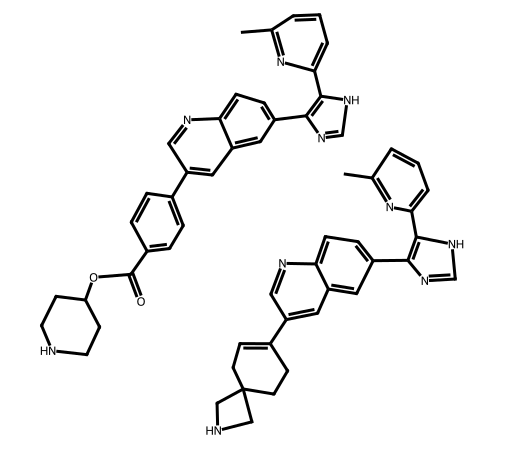 Cc1cccc(-c2[nH]cnc2-c2ccc3ncc(-c4ccc(C(=O)OC5CCNCC5)cc4)cc3c2)n1.Cc1cccc(-c2[nH]cnc2-c2ccc3ncc(C4=CCC5(CC4)CNC5)cc3c2)n1